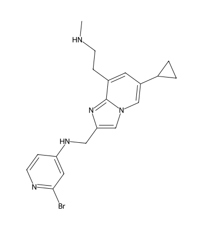 CNCCc1cc(C2CC2)cn2cc(CNc3ccnc(Br)c3)nc12